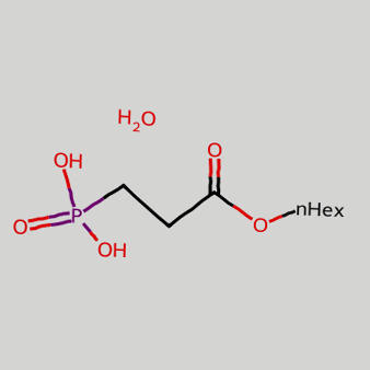 CCCCCCOC(=O)CCP(=O)(O)O.O